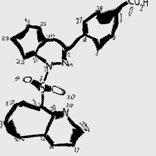 O=C(O)c1ccc(-c2nn(S(=O)(=O)c3cccc4cccnc34)c3ccccc23)cc1